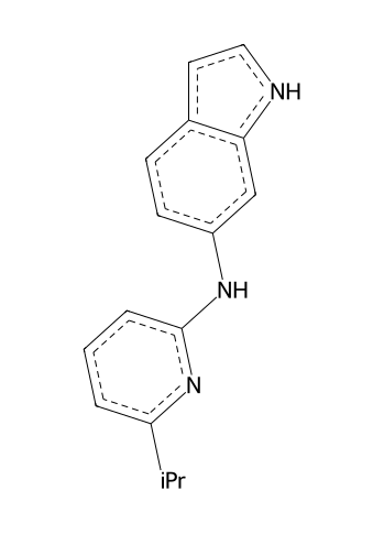 CC(C)c1cccc(Nc2ccc3cc[nH]c3c2)n1